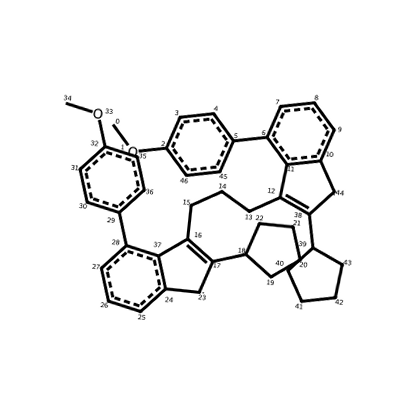 COc1ccc(-c2cccc3c2C(CCCC2=C(C4CCCC4)[CH]c4cccc(-c5ccc(OC)cc5)c42)=C(C2CCCC2)[CH]3)cc1